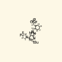 CC(C)(C)c1nc(N2CCC(F)(F)C2)c2nn(Cc3ccccc3CS(=O)(=O)F)nc2n1